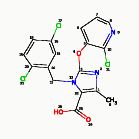 Cc1nc(Oc2cccnc2Cl)n(Cc2cc(Cl)ccc2Cl)c1C(=O)O